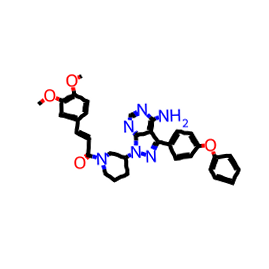 COc1ccc(C=CC(=O)N2CCCC(n3nc(-c4ccc(Oc5ccccc5)cc4)c4c(N)ncnc43)C2)cc1OC